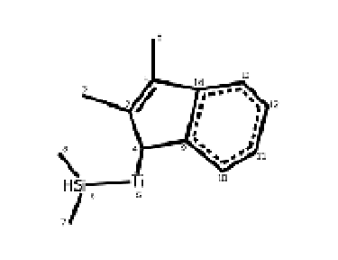 CC1=C(C)[CH]([Ti][SiH](C)C)c2ccccc21